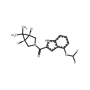 CC1(C)[C@@H]2CN(C(=O)c3cc4c(OC(F)F)cccc4[nH]3)C[C@@H]21